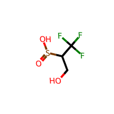 O=S(O)C(CO)C(F)(F)F